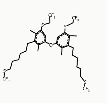 Cc1c(Oc2cc(SCC(F)(F)F)c(C)c(CCCCCCSC(F)(F)F)c2C)cc(SCC(F)(F)F)c(C)c1CCCCCCSC(F)(F)F